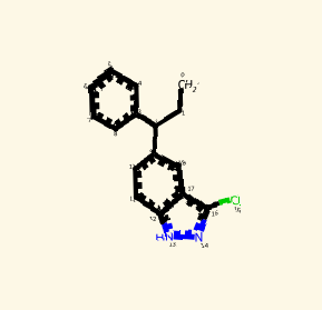 [CH2]CC(c1ccccc1)c1ccc2[nH]nc(Cl)c2c1